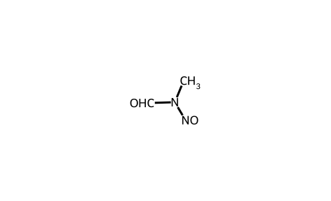 CN(C=O)N=O